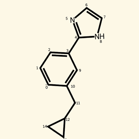 [c]1ccc(-c2ncc[nH]2)cc1CC1CC1